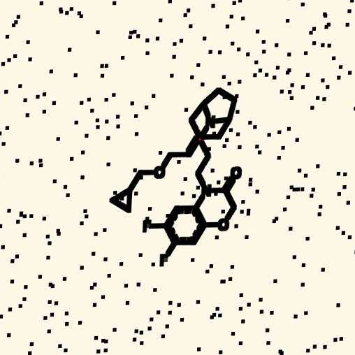 O=C1COc2cc(F)c(F)cc2N1CCCN1C2CCC1CC(=CCOCC1CC1)C2